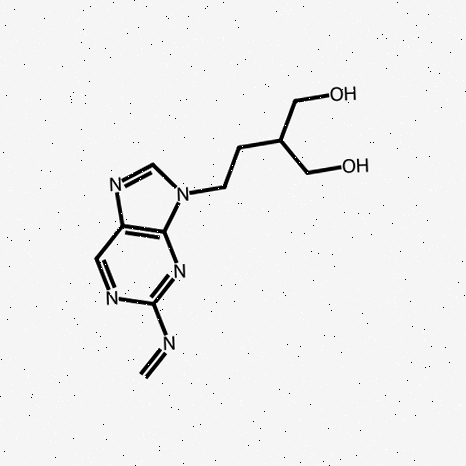 C=Nc1ncc2ncn(CCC(CO)CO)c2n1